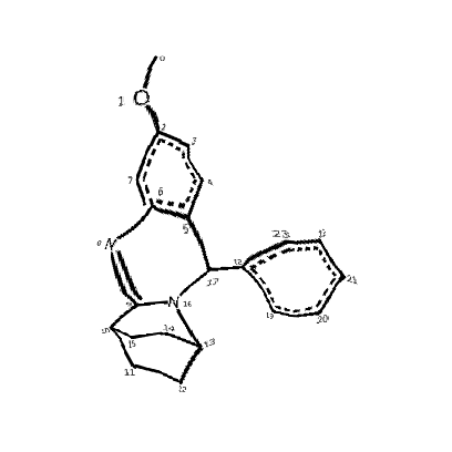 COc1ccc2c(c1)N=C1C3CCC(CC3)N1C2c1ccccc1